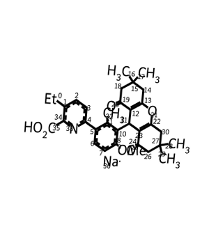 CCc1ccc(-c2ccc(OC)c(C3C4=C(CC(C)(C)CC4=O)OC4=C3C(=O)CC(C)(C)C4)c2C)nc1C(=O)O.[Na]